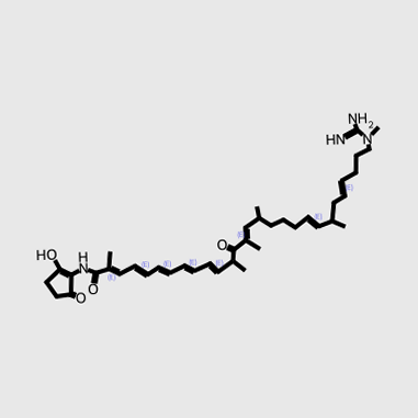 C\C(=C/C=C/C=C/C=C/C=C/C(C)C(=O)/C(C)=C/C(C)CCC/C=C/C(C)C/C=C/CCCN(C)C(=N)N)C(=O)NC1=C(O)CCC1=O